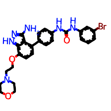 Nc1n[nH]c2c(OCCN3CCOCC3)ccc(-c3ccc(NC(=O)Nc4cccc(Br)c4)cc3)c12